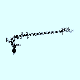 CC(C)(C)c1cc(-c2ccc(F)cc2)nn2cc(C(=O)N3CCN(C(=O)c4cn(CC(=O)NCCCC(=O)NCCOCCOCCOCCOCCOCCOCCOCCOCCC(=O)N[C@@H](CC(=O)O)C(N)=O)nn4)CC3(C)C)nc12